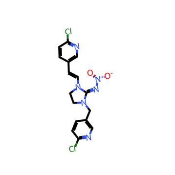 O=[N+]([O-])/N=C1\N(/C=C/c2ccc(Cl)nc2)CCN1Cc1ccc(Cl)nc1